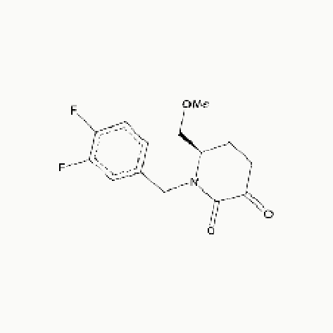 COC[C@H]1CCC(=O)C(=O)N1Cc1ccc(F)c(F)c1